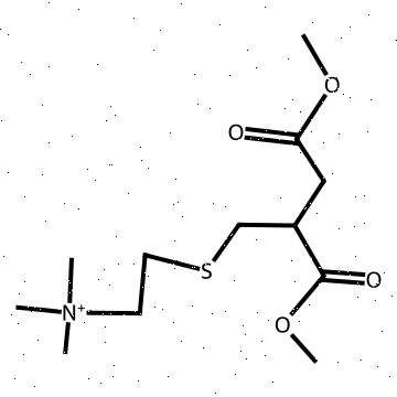 COC(=O)CC(CSCC[N+](C)(C)C)C(=O)OC